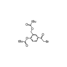 CC(C)(C)C(=O)OCc1cc(C(=O)CBr)ccc1OC(=O)C(C)(C)C